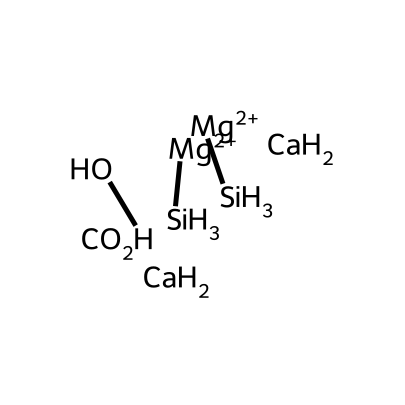 O=C(O)O.[CaH2].[CaH2].[Mg+2][SiH3].[Mg+2][SiH3]